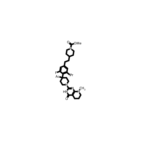 COC(=O)N1CCC(CCc2cc(F)c(C3(C(C)=O)CCN(c4nc5c(c(=O)[nH]4)CCCN5C)CC3)c(C(C)C)c2)CC1